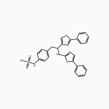 O=S(=O)(O)Nc1c[c]c(CC(Nc2ncc(-c3ccccc3)o2)c2csc(-c3ccccc3)n2)cc1